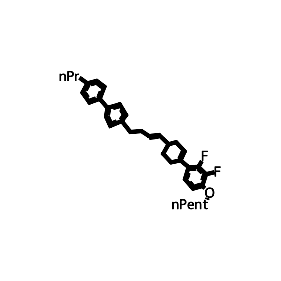 CCCCCOc1ccc(C2=CCC(/C=C/CCc3ccc(-c4ccc(CCC)cc4)cc3)CC2)c(F)c1F